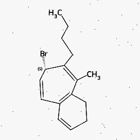 CCCCC1=C(C)C2=C(C=CCC2)C=C[C@@H]1Br